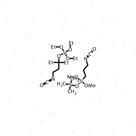 CCO[Si](OCC)(OCC)OC(CC)(CC)CCN=C=O.CO[Si](CCCN=C=O)(OC)O[Si](C)(C)C